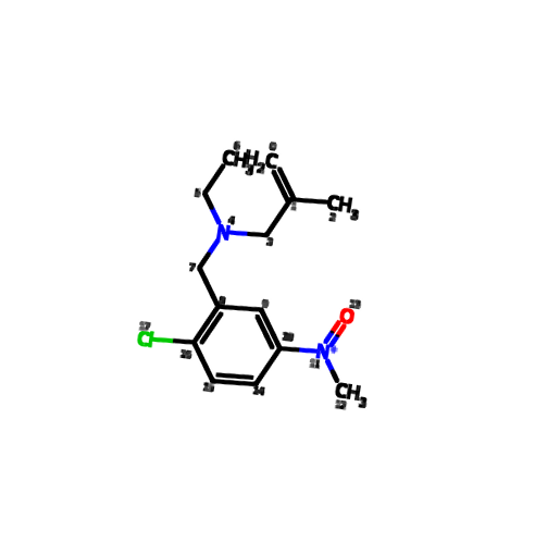 C=C(C)CN(CC)Cc1cc([N+](C)=O)ccc1Cl